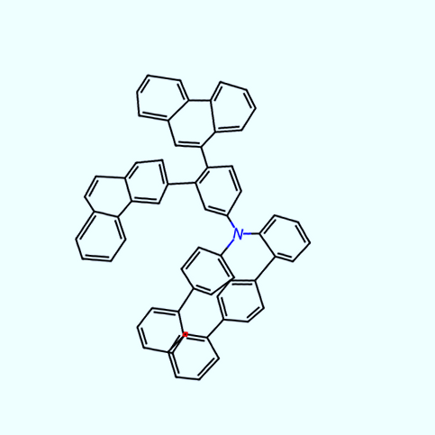 c1ccc(-c2ccc(-c3ccccc3N(c3ccc(-c4ccccc4)cc3)c3ccc(-c4cc5ccccc5c5ccccc45)c(-c4ccc5ccc6ccccc6c5c4)c3)cc2)cc1